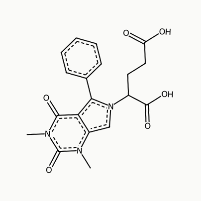 Cn1c(=O)c2c(-c3ccccc3)n(C(CCC(=O)O)C(=O)O)cc2n(C)c1=O